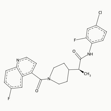 C[C@H](C(=O)Nc1ccc(Cl)cc1F)C1CCN(C(=O)c2ccnc3ccc(F)cc23)CC1